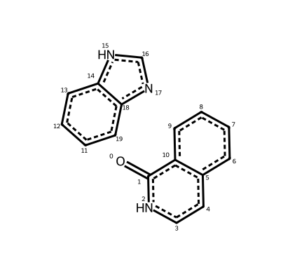 O=c1[nH]ccc2ccccc12.c1ccc2[nH]cnc2c1